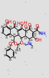 CCC(=O)OC1C2C(=C(O)C3(O)C(=O)C(C(N)=O)=C(O)C(N(C)C)C13)C(=O)c1c(O)cccc1C2COc1ccccc1